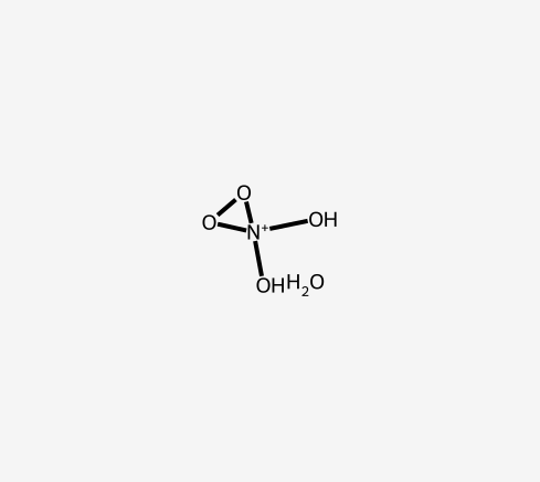 O.O[N+]1(O)OO1